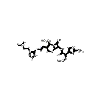 CO/N=C(\C(=O)NC1C(=O)N2C(C(=O)O)=C(/C=C/Sc3nnnn3CCN(C)C)CSC12)c1csc(N)n1